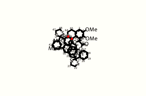 COc1cc2c(cc1OC)C(Cc1ccc(C3(c4ccccc4)SCCS3)cc1)(OC(=O)C(=O)OC1(Cc3ccc(C4(c5ccccc5)SCCS4)cc3)NCCc3cc(OC)c(OC)cc31)NCC2